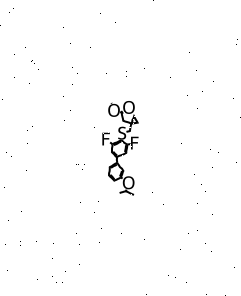 COC(=O)CC1(CSc2c(F)cc(-c3cccc(OC(C)C)c3)cc2F)CC1